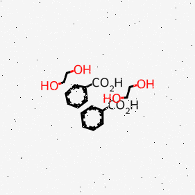 O=C(O)c1ccccc1.O=C(O)c1ccccc1.OCCO.OCCO